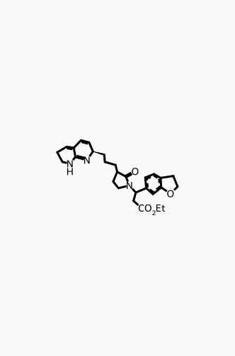 CCOC(=O)CC(c1ccc2c(c1)OCC2)N1CCC(CCC[C@@H]2C=CC3=CCCNC3=N2)C1=O